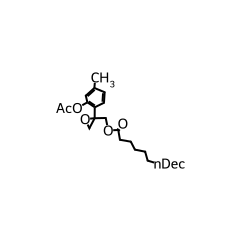 CCCCCCCCCCCCCCCC(=O)OCC1(c2ccc(C)cc2OC(C)=O)CO1